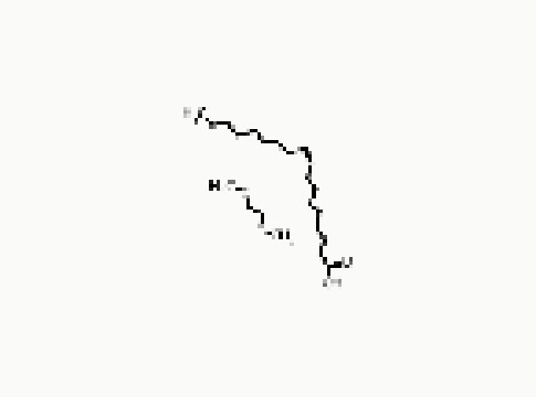 CCCCCCCC/C=C\CCCCCCCC(=O)O.COCCOC